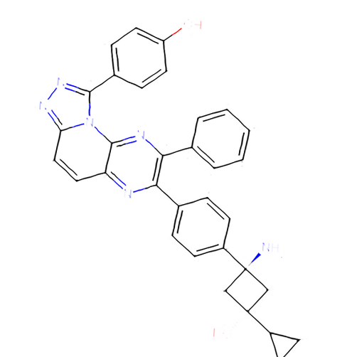 N[C@]1(c2ccc(-c3nc4ccc5nnc(-c6ccc(O)cc6)n5c4nc3-c3ccccc3)cc2)C[C@](O)(C2CC2)C1